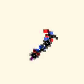 CC(C(=O)NO)C(=O)Nc1ccc(Cn2cc(CNS(=O)(=O)c3ccc(I)cc3)nn2)cc1